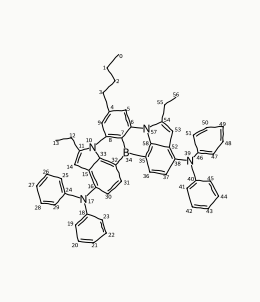 CCCCc1cc2c3c(c1)-n1c(CC)cc4c(N(c5ccccc5)c5ccccc5)ccc(c41)B3c1ccc(N(c3ccccc3)c3ccccc3)c3cc(CC)n-2c13